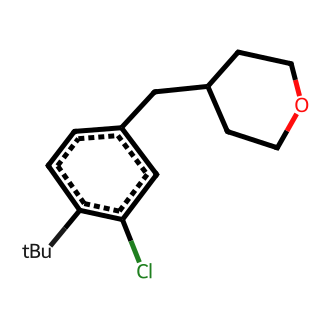 CC(C)(C)c1ccc(CC2CCOCC2)cc1Cl